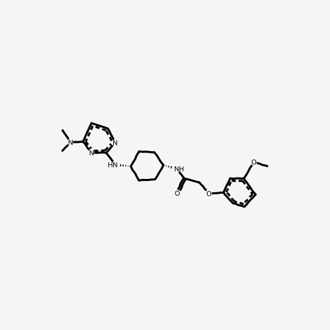 COc1cccc(OCC(=O)N[C@H]2CC[C@@H](Nc3nccc(N(C)C)n3)CC2)c1